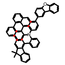 CC1(C)c2ccccc2-c2c(-c3ccccc3N(c3ccc(-c4ccc5oc6ccccc6c5c4)cc3)c3ccccc3-c3cccc4cccc(-c5ccccc5)c34)cccc21